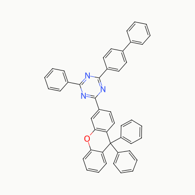 c1ccc(-c2ccc(-c3nc(-c4ccccc4)nc(-c4ccc5c(c4)Oc4ccccc4C5(c4ccccc4)c4ccccc4)n3)cc2)cc1